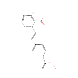 C=C(/C=C\CC(=C)OC)/C=C/c1cccc(O)c1C(=O)O